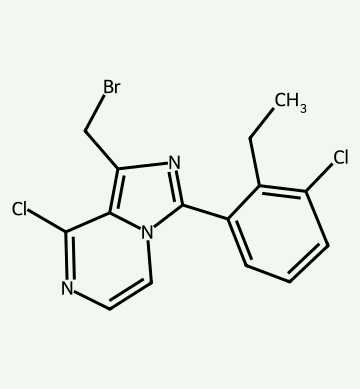 CCc1c(Cl)cccc1-c1nc(CBr)c2c(Cl)nccn12